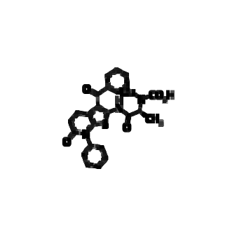 C[C@@H](C(=O)Nc1sc2c(ccc(=O)n2-c2ccccc2)c1C(=O)c1ccccc1)N(C(=O)O)C(C)(C)C